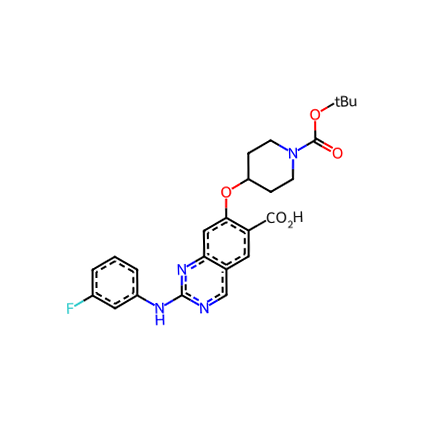 CC(C)(C)OC(=O)N1CCC(Oc2cc3nc(Nc4cccc(F)c4)ncc3cc2C(=O)O)CC1